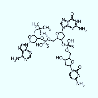 CC(C)(C)C[C@H]1O[C@@H](n2cnc3c(N)ncnc32)CC1OP(O)(=S)OC[C@H]1O[C@@H](n2cnc3c(=O)[nH]c(N)nc32)CC1OP(O)(=S)OC[C@H]1O[C@@H](n2ccc(N)nc2=O)CC1O